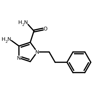 NC(=O)c1c(N)ncn1CCc1ccccc1